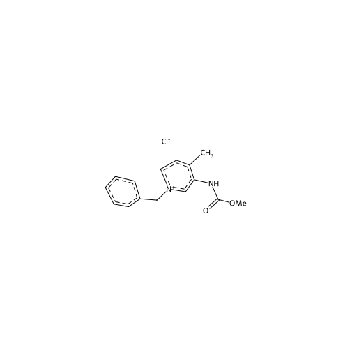 COC(=O)Nc1c[n+](Cc2ccccc2)ccc1C.[Cl-]